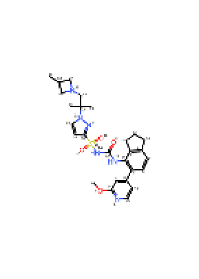 COc1cc(-c2ccc3c(c2NC(=O)NS(=O)(=O)c2ccn(C(C)(C)CN4CC(C)C4)n2)CCC3)ccn1